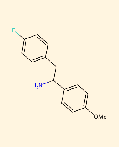 COc1ccc(C(N)Cc2ccc(F)cc2)cc1